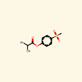 CC(C)C(C#N)C(=O)Oc1ccc(S(C)(=O)=O)cc1